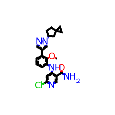 COc1c(Nc2cc(Cl)ncc2C(N)=O)cccc1-c1cnn(C2CCC3(CC3)C2)c1